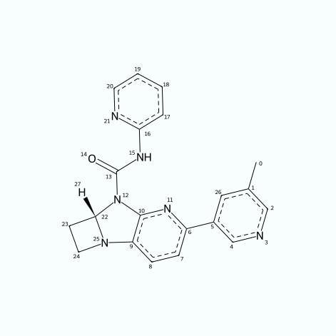 Cc1cncc(-c2ccc3c(n2)N(C(=O)Nc2ccccn2)[C@H]2CCN32)c1